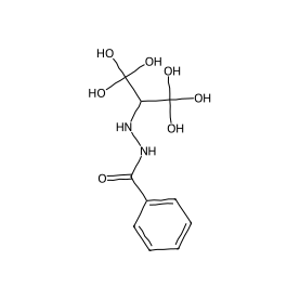 O=C(NNC(C(O)(O)O)C(O)(O)O)c1ccccc1